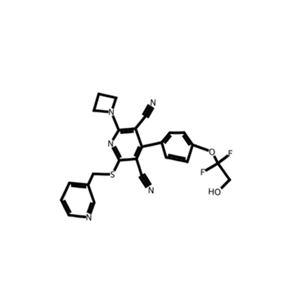 N#Cc1c(SCc2cccnc2)nc(N2CCC2)c(C#N)c1-c1ccc(OC(F)(F)CO)cc1